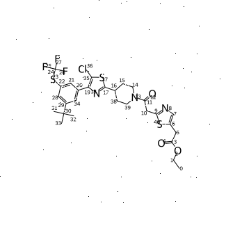 CCOC(=O)Cc1cnc(CC(=O)N2CCC(c3nc(-c4cc(SC(F)(F)F)cc(C(C)(C)C)c4)c(Cl)s3)CC2)s1